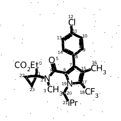 CCOC(=O)C1(N(C)C(=O)c2c(-c3ccc(Cl)cc3)c(C)c(C(F)(F)F)n2CC(C)C)CC1